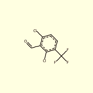 O=Cc1c(Cl)ccc(C(F)(F)F)c1Cl